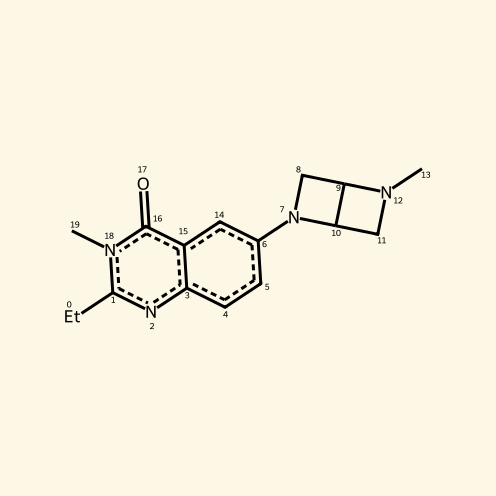 CCc1nc2ccc(N3CC4C3CN4C)cc2c(=O)n1C